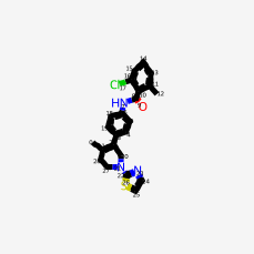 CC1=C(c2ccc(NC(=O)c3c(C)cccc3Cl)cc2)CN(c2nccs2)CC1